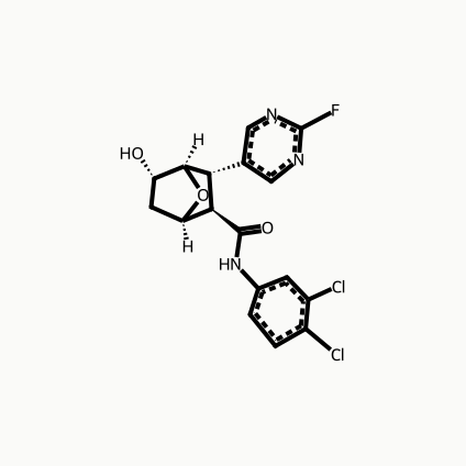 O=C(Nc1ccc(Cl)c(Cl)c1)[C@@H]1[C@@H](c2cnc(F)nc2)[C@H]2O[C@@H]1C[C@@H]2O